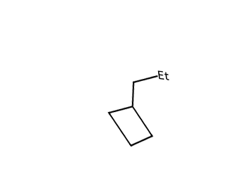 CCCC1CCC1